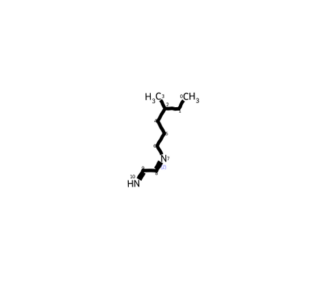 CCC(C)CCC/N=C\C=N